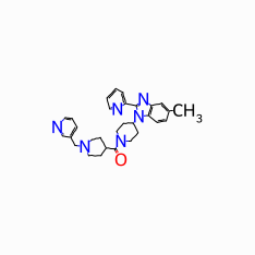 Cc1ccc2c(c1)nc(-c1ccccn1)n2C1CCN(C(=O)C2CCN(Cc3cccnc3)CC2)CC1